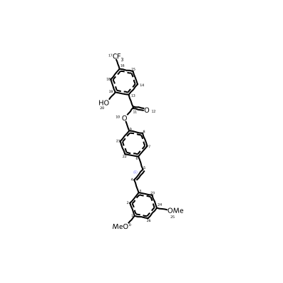 COc1cc(/C=C/c2ccc(OC(=O)c3ccc(C(F)(F)F)cc3O)cc2)cc(OC)c1